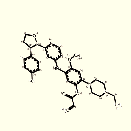 C=CC(=O)Nc1cc(Nc2cc(N3OCC[C@@H]3c3ccc(Cl)cc3)ncn2)c(OC)cc1N1CCN(CC)CC1